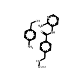 CCCCCNCc1ccc(C(=O)Nc2cccnc2N)cc1.Nc1ccc(CO)cc1